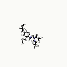 C#CC(C)(C)Cc1cnc(/C(C)=N/C(/C=C(\C)C(C)(C)F)=C(\C)C(=C)C)c(CCC)c1